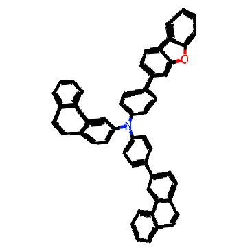 c1ccc2c(c1)ccc1ccc(-c3ccc(N(c4ccc(-c5ccc6c(c5)oc5ccccc56)cc4)c4ccc5ccc6ccccc6c5c4)cc3)cc12